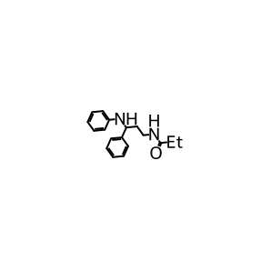 CCC(=O)NCCC(Nc1ccccc1)c1ccccc1